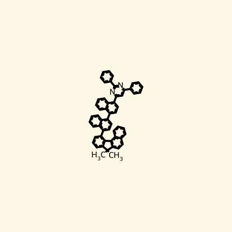 CC1(C)c2cccc(-c3ccc(-c4ccc(-c5cc(-c6ccccc6)nc(-c6ccccc6)n5)c5ccccc45)c4ccccc34)c2-c2c1ccc1ccccc21